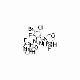 [2H]C([2H])(Oc1nc(N2CCOC[C@H]3[C@H](F)[C@H]32)c2cc(Cl)c(Br)c(F)c2n1)[C@@]12CCCN1C[C@H](F)C2